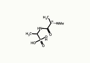 CN[C@@H](C)C(=O)NC(C)P(=O)(O)O